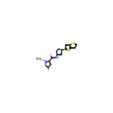 O=C(NC1CCC(c2cc3sccc3s2)C1)C1CC(F)CN1C(=O)O